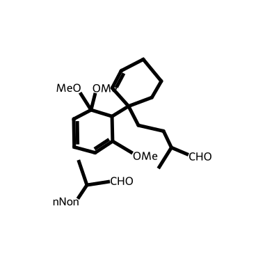 CCCCCCCCCC(C)C=O.COC1=CC=CC(OC)(OC)C1C1(CCC(C)C=O)C=CCCC1